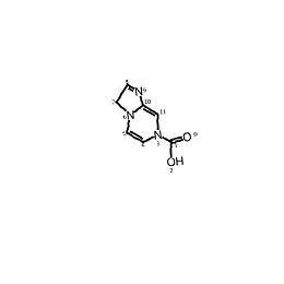 O=C(O)N1C=CN2CC=NC2=C1